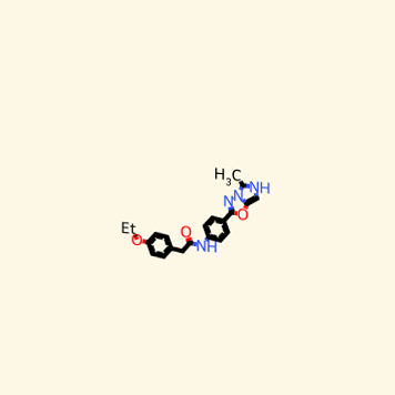 CCOc1ccc(CC(=O)Nc2ccc(C3=NN4C(=CNC4C)O3)cc2)cc1